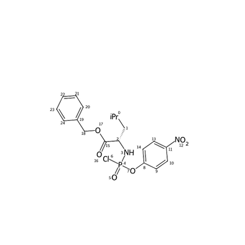 CC(C)C[C@H](NP(=O)(Cl)Oc1ccc([N+](=O)[O-])cc1)C(=O)OCc1ccccc1